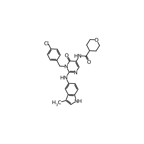 Cc1c[nH]c2ccc(Nc3ncc(NC(=O)C4CCOCC4)c(=O)n3Cc3ccc(Cl)cc3)cc12